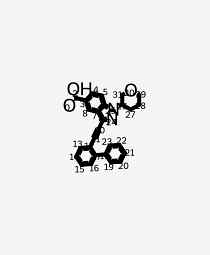 O=C(O)c1ccc2c(c1)c(C#Cc1ccccc1-c1ccccc1)nn2C1CCCOC1